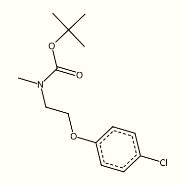 CN(CCOc1ccc(Cl)cc1)C(=O)OC(C)(C)C